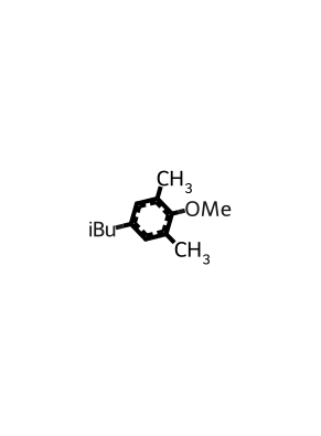 CCC(C)c1cc(C)c(OC)c(C)c1